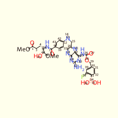 COC(=O)CC[C@H](NC(=O)c1ccc(N(C)Cc2cnc3nc(N)nc(NC(=O)OCc4ccc(B(O)O)c(F)c4)c3n2)cc1)C(O)OC